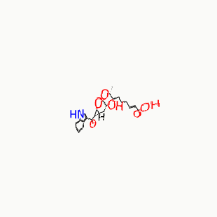 C[C@H](CCCC/C=C/C(=O)O)O[C@@H]1OC2C(C(=O)c3c[nH]c4ccccc34)[C@@H]2C[C@@H]1O